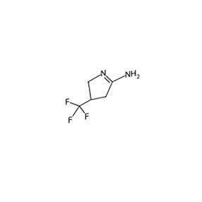 NC1=NCC(C(F)(F)F)C1